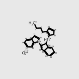 CCCCC1=[C]([Hf+2][CH]2C(n3ccc4ccccc43)=Cc3ccccc32)CC=C1.[Cl-].[Cl-]